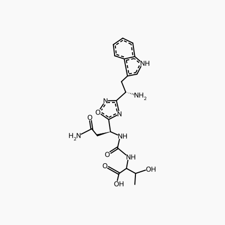 CC(O)C(NC(=O)N[C@@H](CC(N)=O)c1nc([C@@H](N)Cc2c[nH]c3ccccc23)no1)C(=O)O